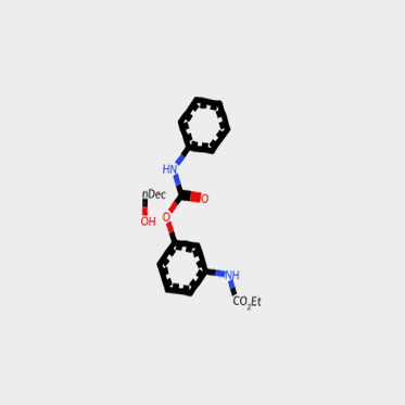 CCCCCCCCCCO.CCOC(=O)Nc1cccc(OC(=O)Nc2ccccc2)c1